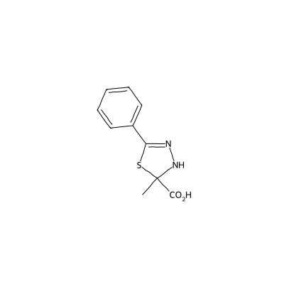 CC1(C(=O)O)NN=C(c2ccccc2)S1